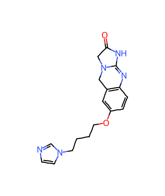 O=C1CN2Cc3cc(OCCCCn4ccnc4)ccc3N=C2N1